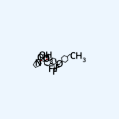 CCC1CCC(Oc2ccc3cc(C(C)N4C5CCC4CC(C(=O)O)C5)ccc3c2C(F)(F)F)CC1